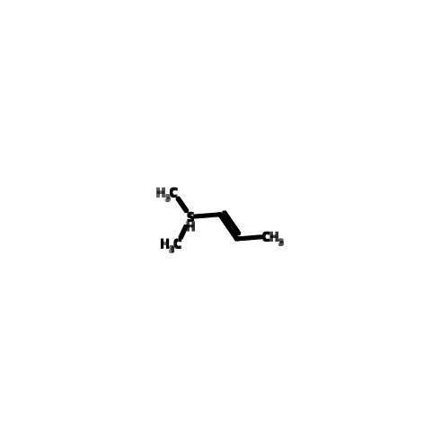 CC=C[SH](C)C